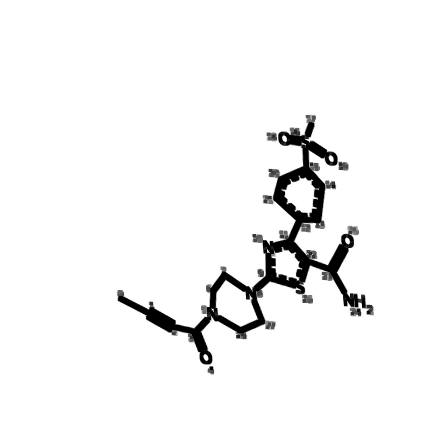 CC#CC(=O)N1CCN(c2nc(-c3ccc(S(C)(=O)=O)cc3)c(C(N)=O)s2)CC1